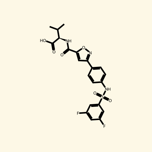 CC(C)[C@@H](NC(=O)c1cc(-c2ccc(NS(=O)(=O)c3cc(F)cc(F)c3)cc2)no1)C(=O)O